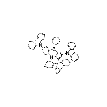 c1ccc(B2c3cc(-n4c5ccccc5c5ccccc54)ccc3N3c4ccccc4C4(c5ccccc5-c5ccccc54)c4cc(-n5c6ccccc6c6ccccc65)cc2c43)cc1